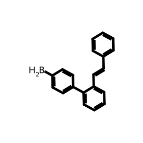 Bc1ccc(-c2ccccc2C=Cc2ccccc2)cc1